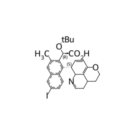 Cc1cc2cc(I)ccc2c([C@@H]2C=CC3=C4C(CC=NC42)CCO3)c1[C@@H](OC(C)(C)C)C(=O)O